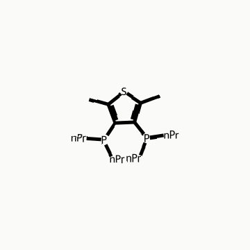 CCCP(CCC)c1c(C)sc(C)c1P(CCC)CCC